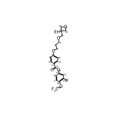 CCC1(COCCCOc2ccc(C(=O)Oc3ccc(OC(F)(F)F)c(F)c3)cc2)COC1